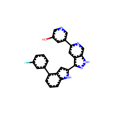 Oc1cncc(-c2cc3c(-c4cc5c(-c6cccc(F)c6)cccc5[nH]4)n[nH]c3cn2)c1